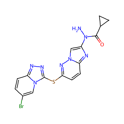 NN(C(=O)C1CC1)c1cn2nc(Sc3nnc4ccc(Br)cn34)ccc2n1